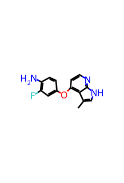 Cc1c[nH]c2nccc(Oc3ccc(N)c(F)c3)c12